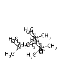 CCCCCCCCCC[N+](CCCCCCCCCC)(CCCCCCCCCC)CCCCCCCCCC.CCCCCCCCCC[N+](CCCCCCCCCC)(CCCCCCCCCC)CCCCCCCCCC.CCCCCCCCCC[N+](CCCCCCCCCC)(CCCCCCCCCC)CCCCCCCCCC.[Cl-].[Cl-].[Cl-]